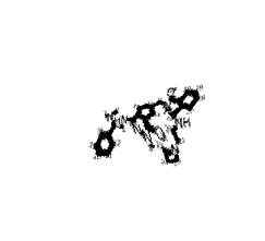 CN(C)[C@H](CNc1nn(C)c(=O)c2cc(Cn3nc(NCCN4CCC4)c4ccccc4c3=O)ccc12)c1ccccc1